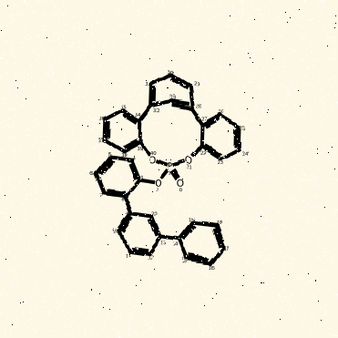 O=P1(Oc2ccccc2-c2cccc(-c3[c]cccc3)c2)Oc2ccccc2-c2cccc(c2)-c2ccccc2O1